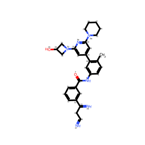 Cc1ccc(NC(=O)c2cccc(C(=N)CC=N)c2)cc1-c1cc(N2CCCCC2)nc(N2CC(O)C2)c1